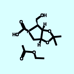 CC1(C)O[C@H]2[C@@H](CO)N(C(=O)O)C[C@H]2O1.CCOC(C)=O